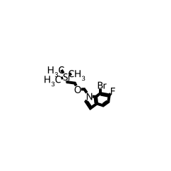 C[Si](C)(C)CCOCn1ccc2ccc(F)c(Br)c21